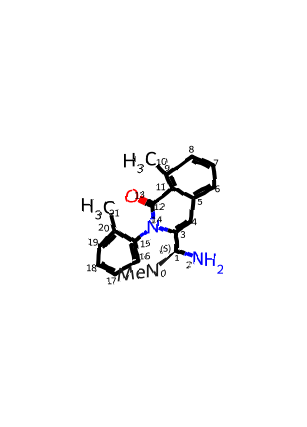 CN[C@H](N)c1cc2cccc(C)c2c(=O)n1-c1ccccc1C